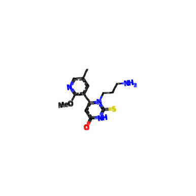 COc1ncc(C)cc1-c1cc(=O)[nH]c(=S)n1CCCN